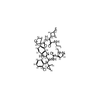 CCNC(=O)[C@H](NC(=O)C1(c2ccc3[nH]c([C@@H](NC(=O)c4ccnn4C)[C@H](c4ccccc4Cl)C4(C)CC4)nc3c2)CCOC1)C1CC(F)C1